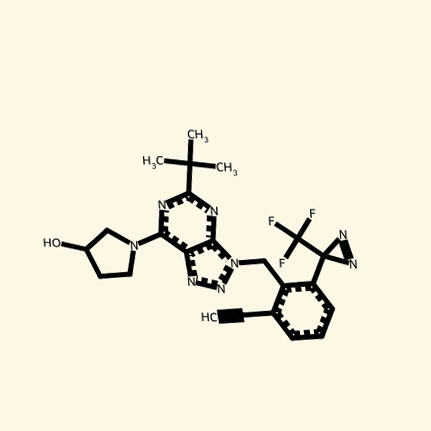 C#Cc1cccc(C2(C(F)(F)F)N=N2)c1Cn1nnc2c(N3CCC(O)C3)nc(C(C)(C)C)nc21